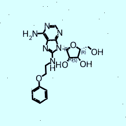 Nc1ncnc2c1nc(NCCOc1ccccc1)n2[C@@H]1O[C@H](CO)[C@@H](O)[C@H]1O